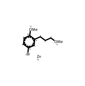 COCCCc1cc(Br)ccc1OC.[Zn]